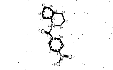 O=C(c1ccc([N+](=O)[O-])cc1)N1CCCc2ccccc21